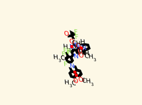 COc1ccc(CN(Cc2ccc(OC)cc2)c2cc(-c3nc4c5c(nc(OCC6(C=O)CC6(F)F)nc5c3F)N3C[C@H]5CC[C@@H]([C@H]3[C@H](C)O4)N5C(=O)OC(C)(C)C)c(C(F)(F)F)c(C)c2F)cc1